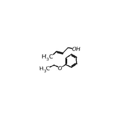 CC=CCO.CCOc1ccccc1